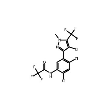 Cn1nc(-c2cc(NC(=O)C(F)(F)F)c(Cl)cc2Cl)c(Cl)c1C(F)(F)F